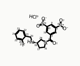 Cl.O=C(c1cc([N+](=O)[O-])cc([N+](=O)[O-])c1)N1CC[C@@H](NCc2ccccc2F)C1